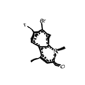 Cc1cc(=O)n(C)c2cc(Br)c(F)cc12